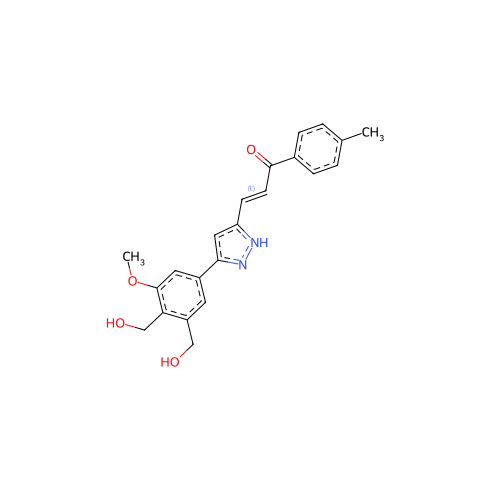 COc1cc(-c2cc(/C=C/C(=O)c3ccc(C)cc3)[nH]n2)cc(CO)c1CO